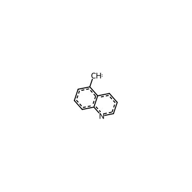 [CH]c1cccc2ncccc12